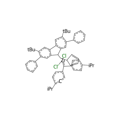 CC(C)c1ccc([C](c2ccc(C(C)C)cc2)=[Zr]([Cl])([Cl])([CH]2C=CC=C2)[CH]2c3cc(-c4ccccc4)c(C(C)(C)C)cc3-c3cc(C(C)(C)C)c(-c4ccccc4)cc32)cc1